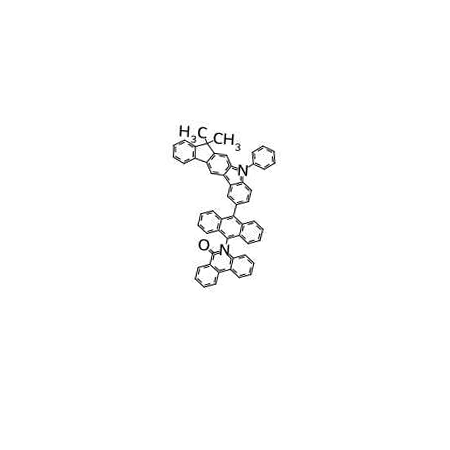 CC1(C)c2ccccc2-c2cc3c4cc(-c5c6ccccc6c(-n6c(=O)c7ccccc7c7ccccc76)c6ccccc56)ccc4n(-c4ccccc4)c3cc21